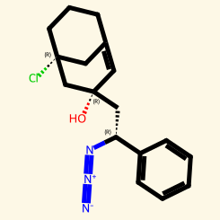 [N-]=[N+]=N[C@H](C[C@]1(O)C=C2CCC[C@@](Cl)(C2)C1)c1ccccc1